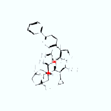 Cc1nnc(C(=O)N2[C@@H]3CC[C@H]2C[C@H](c2nc4c(-c5ccc(-c6ccccc6)nc5)cnn4c(N)c2C2CC2)C3)[nH]1